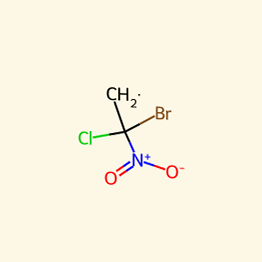 [CH2]C(Cl)(Br)[N+](=O)[O-]